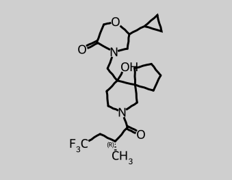 C[C@H](CC(F)(F)F)C(=O)N1CCC(O)(CN2CC(C3CC3)OCC2=O)C2(CCCC2)C1